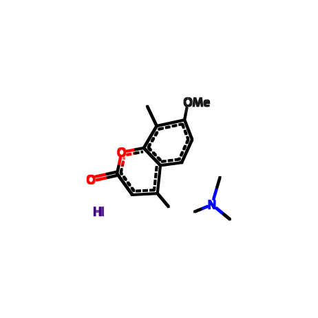 CN(C)C.COc1ccc2c(C)cc(=O)oc2c1C.I